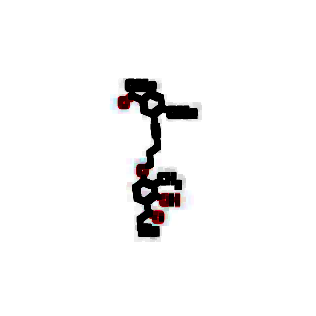 COC(=O)c1ccc(OC)c(C#CCCCOc2ccc(C(=O)CC(C)(C)C)c(O)c2C)c1